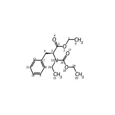 CCOC(=O)[C@H](Cc1ccccc1)N(CC)C(=O)OCC